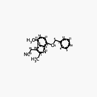 Cc1nc2c(OCc3ccccc3)ccc(C)n2c1CC#N